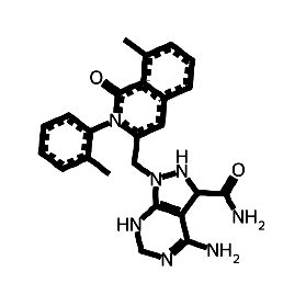 Cc1ccccc1-n1c(CN2NC(C(N)=O)C3=C2NCN=C3N)cc2cccc(C)c2c1=O